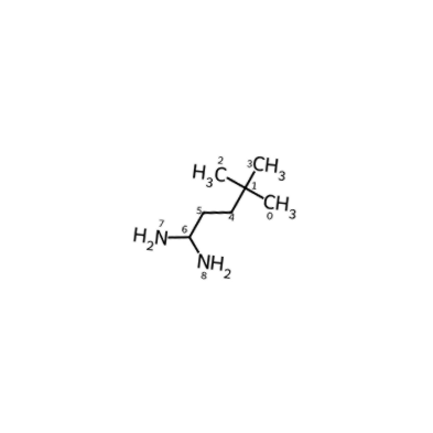 CC(C)(C)CCC(N)N